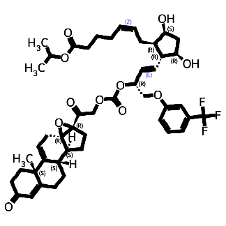 CC(C)OC(=O)CCC/C=C\C[C@@H]1[C@@H](/C=C/[C@H](COc2cccc(C(F)(F)F)c2)OC(=O)OCC(=O)[C@@]23CC[C@H]4[C@@H]5CCC6=CC(=O)CC[C@]6(C)C5=CC[C@@]42O3)[C@H](O)C[C@@H]1O